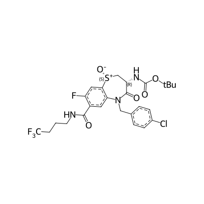 CC(C)(C)OC(=O)N[C@H]1C[S@@+]([O-])c2cc(F)c(C(=O)NCCCC(F)(F)F)cc2N(Cc2ccc(Cl)cc2)C1=O